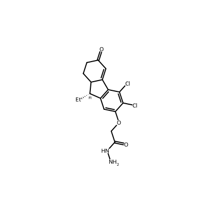 CC[C@H]1c2cc(OCC(=O)NN)c(Cl)c(Cl)c2C2=CC(=O)CCC21